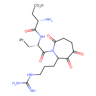 CC(C)C[C@H](NC(=O)[C@@H](N)CC(=O)O)C(=O)N1[C](CCCNC(=N)N)C(=O)C(=O)CCC1=O